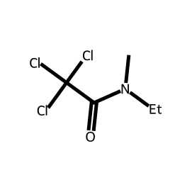 CCN(C)C(=O)C(Cl)(Cl)Cl